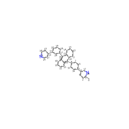 Cc1ccc(-c2ccc(-c3c4ccccc4c(-c4cccc(-c5ccncc5)c4)c4ccccc34)cc2)cn1